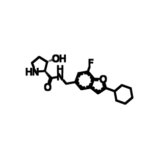 O=C(NCc1cc(F)c2oc(C3CCCCC3)cc2c1)[C@H]1NCC[C@@H]1O